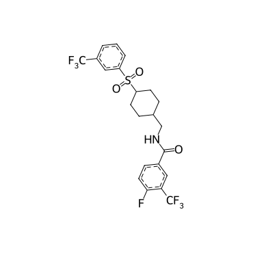 O=C(NCC1CCC(S(=O)(=O)c2cccc(C(F)(F)F)c2)CC1)c1ccc(F)c(C(F)(F)F)c1